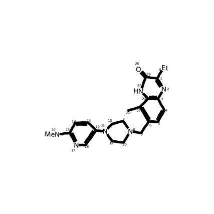 CCc1nc2ccc(CN3CCN(c4ccc(NC)nc4)CC3)c(C)c2[nH]c1=O